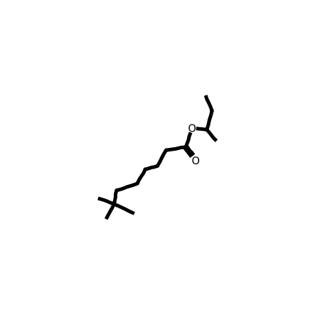 CCC(C)OC(=O)CCCCCC(C)(C)C